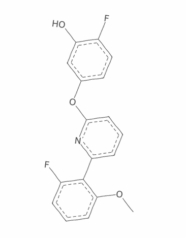 COc1cccc(F)c1-c1cccc(Oc2ccc(F)c(O)c2)n1